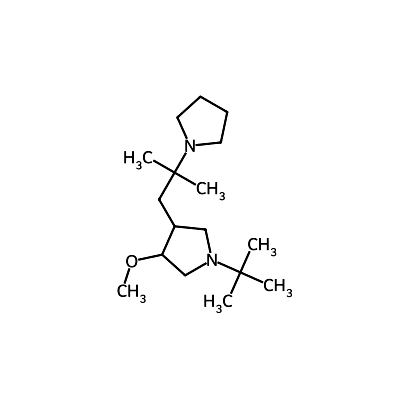 COC1CN(C(C)(C)C)CC1CC(C)(C)N1CCCC1